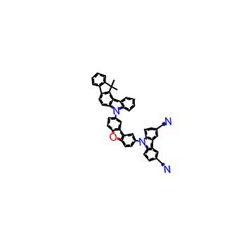 CC1(C)c2ccccc2-c2ccc3c(c21)c1ccccc1n3-c1ccc2oc3ccc(-n4c5ccc(C#N)cc5c5cc(C#N)ccc54)cc3c2c1